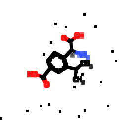 CC(C)c1cc(C(=O)O)ccc1[C@H](N)C(=O)O